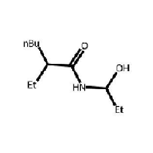 CCCCC(CC)C(=O)NC(O)CC